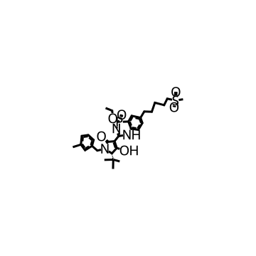 CCOP1(=O)N=C(C2=C(O)[C@H](C(C)(C)C)N(Cc3cccc(C)c3)C2=O)Nc2ccc(CCCCCS(C)(=O)=O)cc21